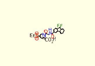 CCS(=O)(=O)[C@@H]1C[C@@H](C(=O)O)N(C(=O)CNC(=O)c2ccc3c(c2)-c2ccccc2C3(F)F)C1